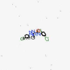 COCc1c(C(=O)Nc2cc(Cl)ccc2Cl)nnn1-c1ccc(Cl)cc1